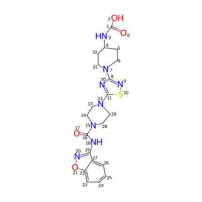 O=C(O)NC1CCN(c2nsc(N3CCN(C(=O)Nc4noc5ccccc45)CC3)n2)CC1